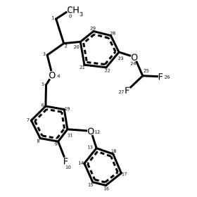 CCC(COCc1ccc(F)c(Oc2ccccc2)c1)c1ccc(OC(F)F)cc1